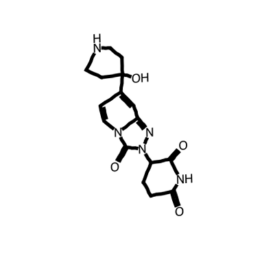 O=C1CCC(n2nc3cc(C4(O)CCNCC4)ccn3c2=O)C(=O)N1